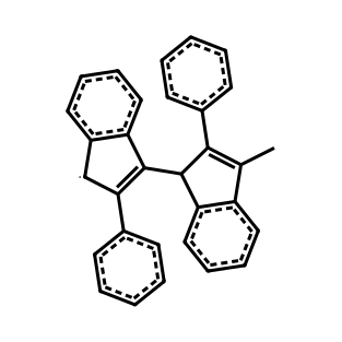 CC1=C(c2ccccc2)C(C2=C(c3ccccc3)[CH]c3ccccc32)c2ccccc21